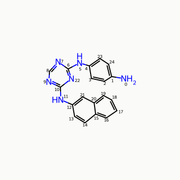 Nc1ccc(Nc2ncnc(Nc3ccc4ccccc4c3)n2)cc1